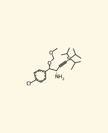 COCO[C@H](c1ccc(Cl)cc1)[C@@H](N)C#C[Si](C(C)C)(C(C)C)C(C)C